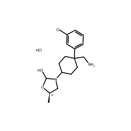 C[C@@H]1CN(C2CCC(CN)(c3cccc(Cl)c3)CC2)C(O)O1.Cl